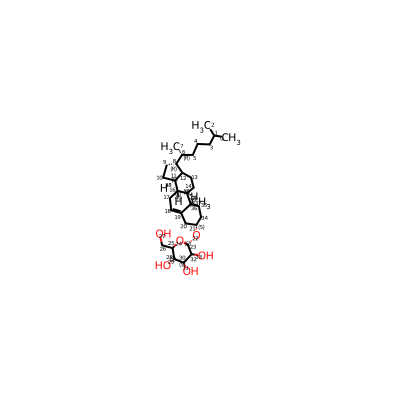 CC(C)CCC[C@@H](C)[C@H]1CC[C@H]2C1CC[C@@H]1[C@@H]2CC=C2C[C@@H](O[C@H]3OC(CO)[C@@H](O)[C@H](O)C3O)CC[C@@]21C